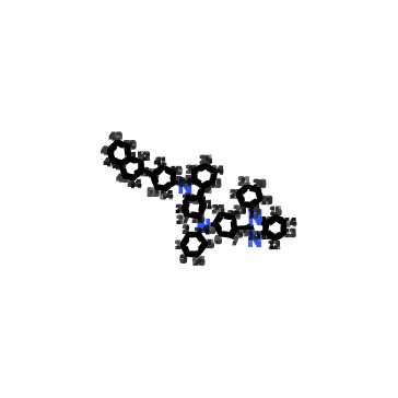 c1ccc(N(c2ccc(-c3nc4ccccc4n3-c3ccccc3)cc2)c2ccc3c(c2)c2ccccc2n3-c2ccc(-c3ccc4ccccc4c3)cc2)cc1